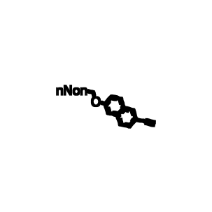 C#Cc1ccc2cc(OCCCCCCCCCC)ccc2c1